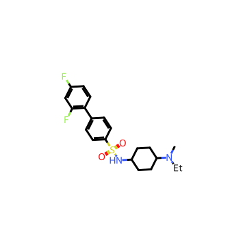 CCN(C)C1CCC(NS(=O)(=O)c2ccc(-c3ccc(F)cc3F)cc2)CC1